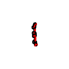 O=C(CCCCCCCC(=O)OCc1ccccc1)OCOC(=O)CCCCCCCC(=O)OCc1ccccc1